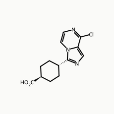 O=C(O)[C@H]1CC[C@H](c2ncc3c(Cl)nccn32)CC1